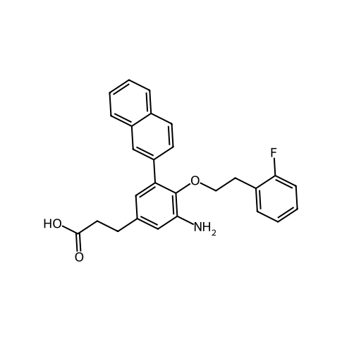 Nc1cc(CCC(=O)O)cc(-c2ccc3ccccc3c2)c1OCCc1ccccc1F